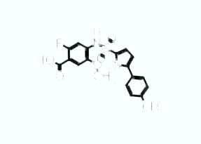 COc1cc(C(=O)O)c(F)cc1NS(=O)(=O)c1ccc(-c2ccc(C)cc2)s1